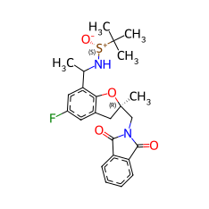 CC(N[S@+]([O-])C(C)(C)C)c1cc(F)cc2c1O[C@@](C)(CN1C(=O)c3ccccc3C1=O)C2